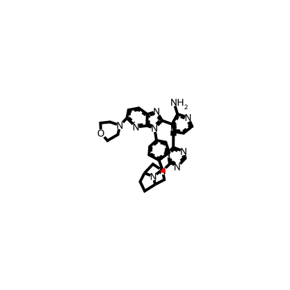 N#Cc1ncnc(N2CC3CCC(C2)N3Cc2ccc(-n3c(-c4cccnc4N)nc4ccc(N5CCOCC5)nc43)cc2)n1